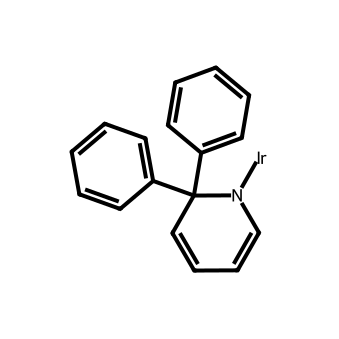 [Ir][N]1C=CC=CC1(c1ccccc1)c1ccccc1